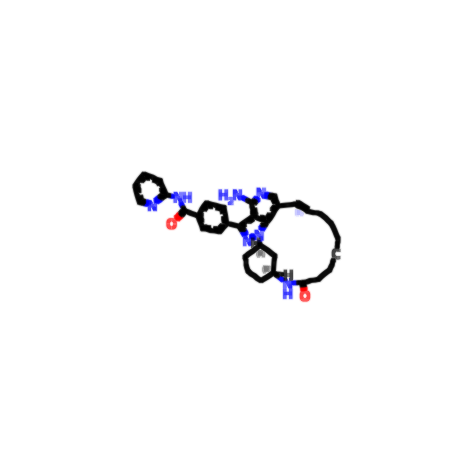 Nc1ncc2c3c1c(-c1ccc(C(=O)Nc4ccccn4)cc1)nn3[C@@H]1CCC[C@H](C1)NC(=O)CCCCCC/C=C/2